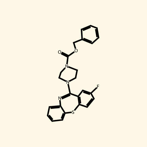 O=C(OCc1ccccc1)N1CCN(C2=Nc3ccccc3Sc3ccc(F)cc32)CC1